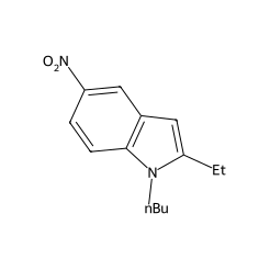 CCCCn1c(CC)cc2cc([N+](=O)[O-])ccc21